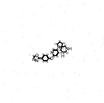 c1nnc(-c2ccc(Oc3ccc(N4CCCC45CNCNC5)cn3)cc2)o1